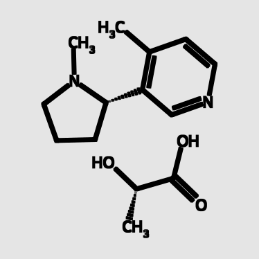 C[C@H](O)C(=O)O.Cc1ccncc1[C@@H]1CCCN1C